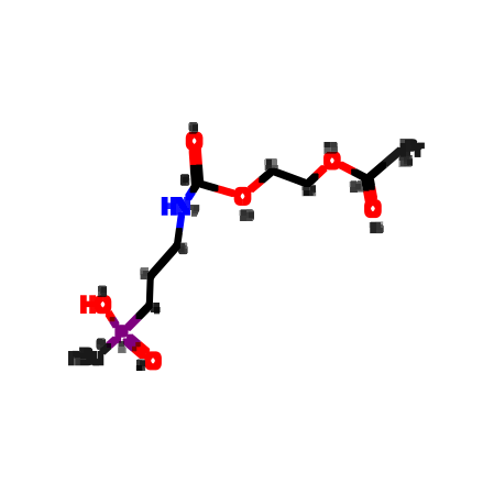 CCCCP(=O)(O)CCCNC(=O)OCCOC(=O)C(C)C